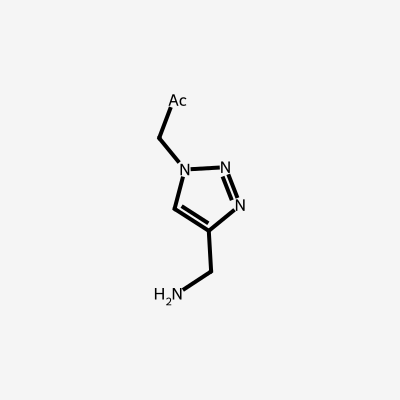 CC(=O)Cn1cc(CN)nn1